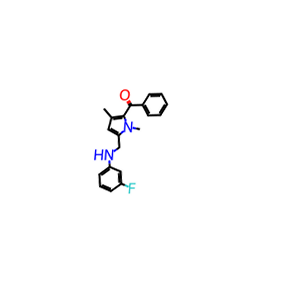 Cc1cc(CNc2cccc(F)c2)n(C)c1C(=O)c1ccccc1